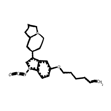 C=CCCCCOc1ccc2c(c1)c(C1CCN3CCCC3C1)cn2N=C=O